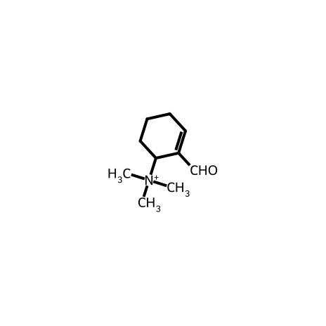 C[N+](C)(C)C1CCCC=C1C=O